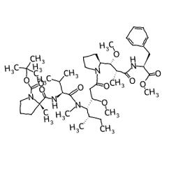 CC[C@H](C)[C@@H](C(CC(=O)N1CCC[C@H]1[C@H](OC)[C@@H](C)C(=O)N[C@@H](Cc1ccccc1)C(=O)OC)OC)N(C)C(=O)[C@@H](NC(=O)[C@]1(C)CCCN1C(=O)OC(C)(C)C)C(C)C